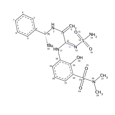 C=C(N[C@@H](c1ccccc1)C(C)(C)C)/C(=N\S(N)(=O)=O)Nc1cccc(S(=O)(=O)N(C)C)c1O